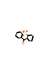 C[SH](C)(=O)c1ccccc1C(=O)c1ccccc1